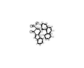 O=C1C2=Cc3ccccc3C2=CC=C1[N+](=O)[O-].c1ccc2c(c1)ccc1ccccc12